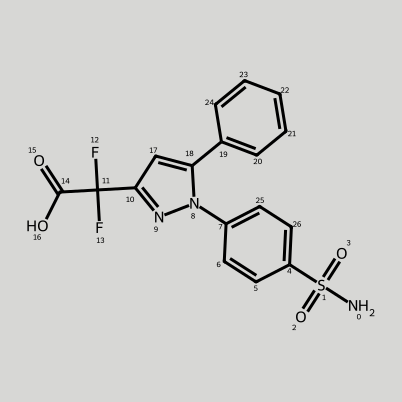 NS(=O)(=O)c1ccc(-n2nc(C(F)(F)C(=O)O)cc2-c2ccccc2)cc1